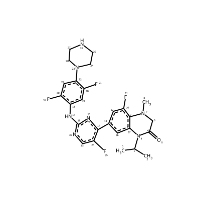 CC(C)N1C(=O)CN(C)c2c(F)cc(-c3nc(Nc4cc(F)c(N5CCNCC5)cc4F)ncc3F)cc21